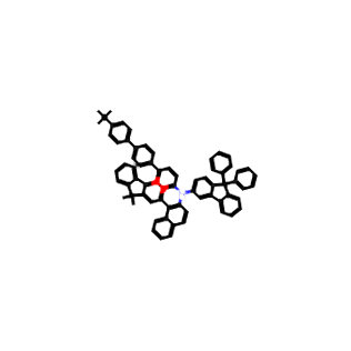 CC(C)(C)c1ccc(-c2ccc(-c3ccc(N(c4ccc5c(c4)-c4ccccc4C5(c4ccccc4)c4ccccc4)c4ccc5ccccc5c4-c4ccc5c(c4)C(C)(C)c4ccccc4-5)cc3)cc2)cc1